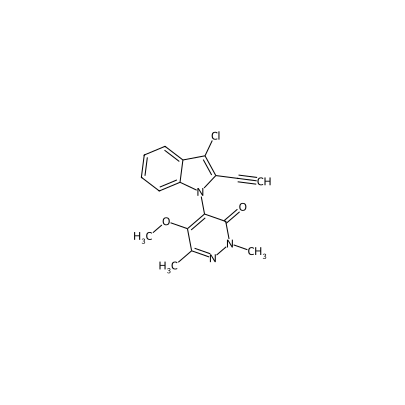 C#Cc1c(Cl)c2ccccc2n1-c1c(OC)c(C)nn(C)c1=O